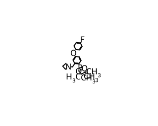 CC1(C)OB(c2ccc(OC3C=CC(F)=CC3)cc2CN2CCC2)OC1(C)C